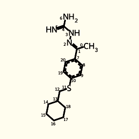 CC(=NNC(=N)N)c1ccc(SCC2CCCCC2)cc1